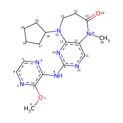 COc1nccnc1Nc1ncc2c(n1)N(C1CCCC1)CCC(=O)N2C